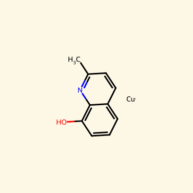 Cc1ccc2cccc(O)c2n1.[Cu]